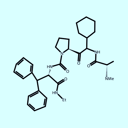 CCNC(=O)[C@@H](NC(=O)N1CCC[C@H]1C(=O)C(NC(=O)[C@H](C)NC)C1CCCCC1)C(c1ccccc1)c1ccccc1